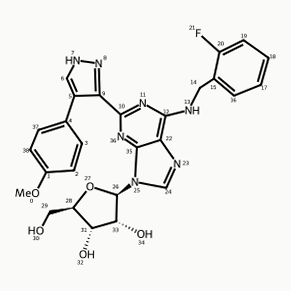 COc1ccc(-c2c[nH]nc2-c2nc(NCc3ccccc3F)c3ncn([C@@H]4O[C@H](CO)[C@@H](O)[C@H]4O)c3n2)cc1